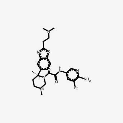 CCc1cc(NC(=O)C(=O)N2C[C@@H](C)CC[C@@]2(C)c2ccc3sc(CCN(C)C)nc3c2)cnc1N